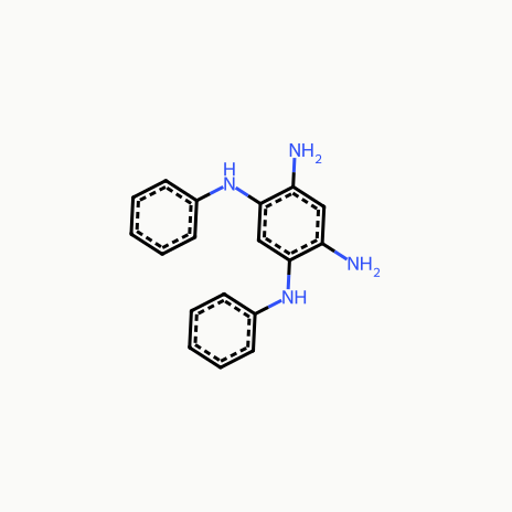 Nc1cc(N)c(Nc2ccccc2)cc1Nc1ccccc1